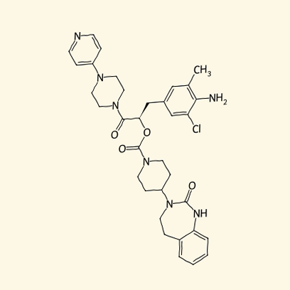 Cc1cc(C[C@@H](OC(=O)N2CCC(N3CCc4ccccc4NC3=O)CC2)C(=O)N2CCN(c3ccncc3)CC2)cc(Cl)c1N